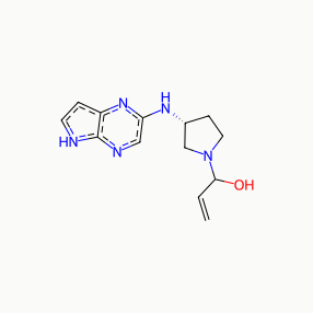 C=CC(O)N1CC[C@@H](Nc2cnc3[nH]ccc3n2)C1